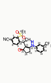 CCS(=O)(=O)c1cc(C#N)ccc1C(C)C1=C(Nc2cccc(C(F)(F)F)c2)CCC1=O